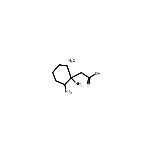 NC1CCCCC1(N)CC(=O)O.O